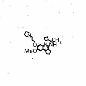 COc1cc2c3c(c(N[C@H](C)C4CCC4)nc2cc1OCCCN1CCCC1)CCC3